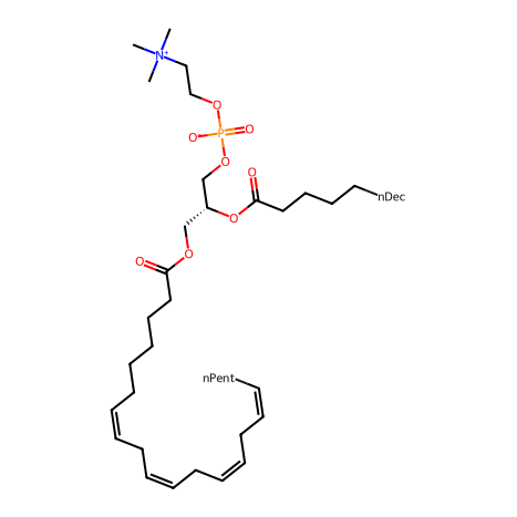 CCCCC/C=C\C/C=C\C/C=C\C/C=C\CCCCCC(=O)OC[C@H](COP(=O)([O-])OCC[N+](C)(C)C)OC(=O)CCCCCCCCCCCCCC